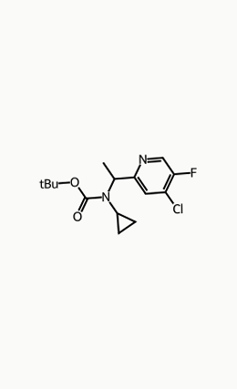 CC(c1cc(Cl)c(F)cn1)N(C(=O)OC(C)(C)C)C1CC1